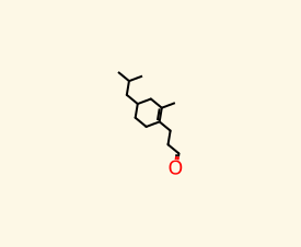 CC1=C(CCC=O)CCC(CC(C)C)C1